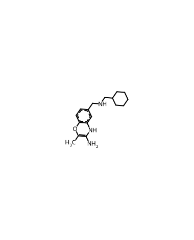 CC1=C(N)Nc2cc(CNCC3CCCCC3)ccc2O1